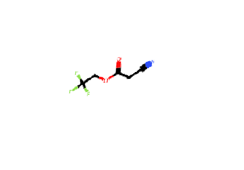 N#CCC(=O)OCC(F)(F)F